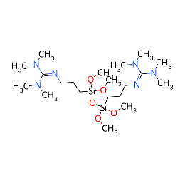 CO[Si](CCCN=C(N(C)C)N(C)C)(OC)O[Si](CCCN=C(N(C)C)N(C)C)(OC)OC